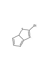 CCC1=[C]C2=CC=CC2S1